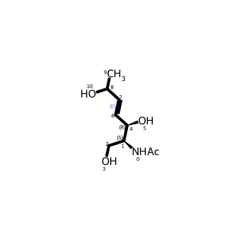 CC(=O)N[C@@H](CO)[C@H](O)/C=C/C(C)O